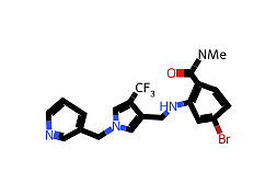 CNC(=O)c1ccc(Br)cc1NCc1cn(Cc2cccnc2)cc1C(F)(F)F